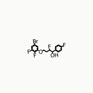 OC(c1ccc(F)cc1)C(F)CCOc1cc(Br)cc(F)c1F